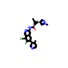 Cc1ccncc1-c1cc2cc(NC(=O)[C@H]3C(C)[C@@H]3c3cnn(C)c3)ncc2c(Cl)c1F